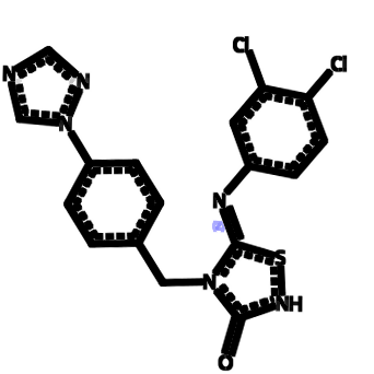 O=c1[nH]s/c(=N\c2ccc(Cl)c(Cl)c2)n1Cc1ccc(-n2cncn2)cc1